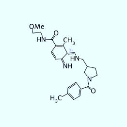 COCCNC(=O)C1=C(C)/C(=C/NCC2CCN(C(=O)c3ccc(C)cc3)C2)C(=N)C=C1